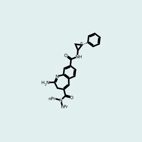 CCCN(CCC)C(=O)C1=Cc2ccc(C(=O)NC3C[C@@H]3c3ccccc3)cc2N=C(N)C1